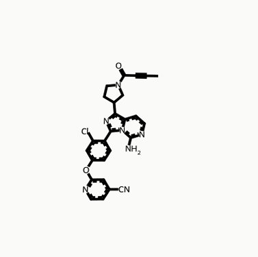 CC#CC(=O)N1CCC(c2nc(-c3ccc(Oc4cc(C#N)ccn4)cc3Cl)n3c(N)nccc23)C1